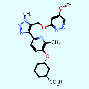 CCOc1cnnc(OCc2c(-c3ccc(O[C@H]4CCC[C@H](C(=O)O)C4)c(C)n3)nnn2C)c1